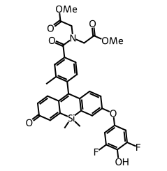 COC(=O)CN(CC(=O)OC)C(=O)c1ccc(C2=C3C=CC(=O)C=C3[Si](C)(C)c3cc(Oc4cc(F)c(O)c(F)c4)ccc32)c(C)c1